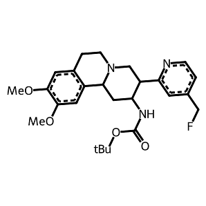 COc1cc2c(cc1OC)C1CC(NC(=O)OC(C)(C)C)C(c3cc(CF)ccn3)CN1CC2